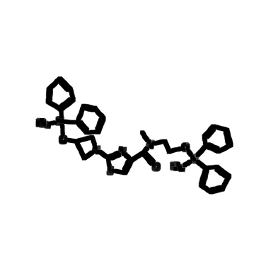 CN(CCO[Si](c1ccccc1)(c1ccccc1)C(C)(C)C)C(=O)c1csc(N2CC(O[Si](c3ccccc3)(c3ccccc3)C(C)(C)C)C2)n1